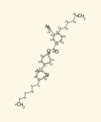 CCCCCCCc1cnc(-c2ccc(OC(=O)c3ccc(CCCCCC)c(C#N)c3)cc2)nc1